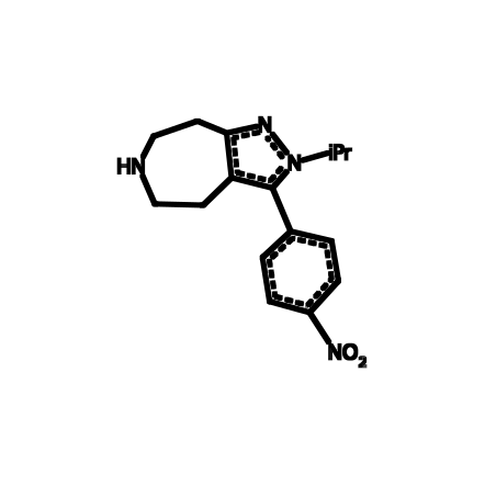 CC(C)n1nc2c(c1-c1ccc([N+](=O)[O-])cc1)CCNCC2